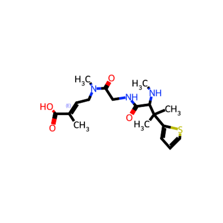 CNC(C(=O)NCC(=O)N(C)C/C=C(\C)C(=O)O)C(C)(C)c1cccs1